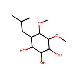 COC1C(O)C(O)C(O)C(CC(C)C)C1OC